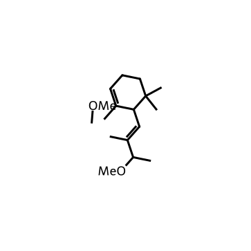 COC.COC(C)/C(C)=C/C1C(C)=CCCC1(C)C